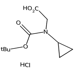 CC(C)(C)OC(=O)N(CC(=O)O)C1CC1.Cl